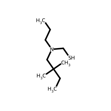 CCCN(CS)CC(C)(C)CC